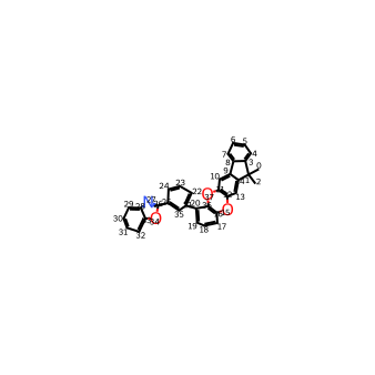 CC1(C)c2ccccc2-c2cc3c(cc21)Oc1cccc(-c2cccc(-c4nc5ccccc5o4)c2)c1O3